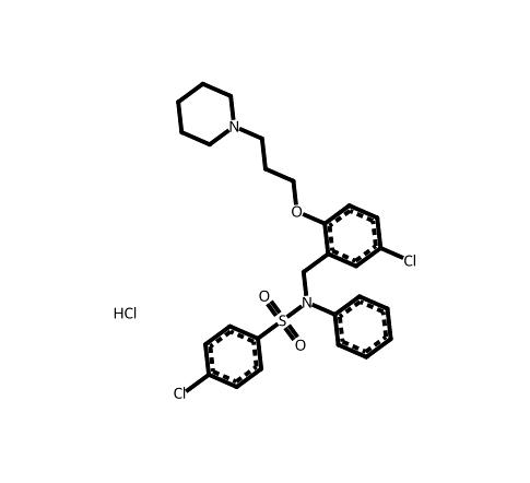 Cl.O=S(=O)(c1ccc(Cl)cc1)N(Cc1cc(Cl)ccc1OCCCN1CCCCC1)c1ccccc1